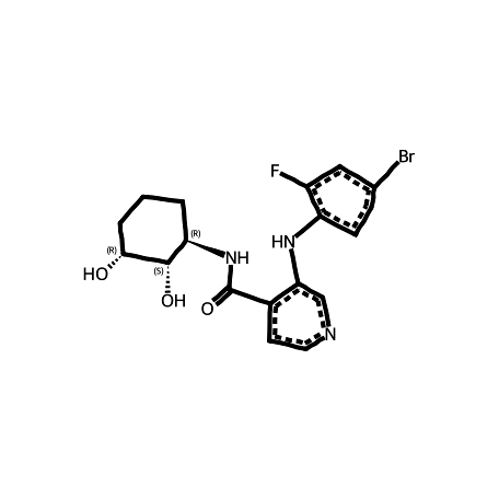 O=C(N[C@@H]1CCC[C@@H](O)[C@H]1O)c1ccncc1Nc1ccc(Br)cc1F